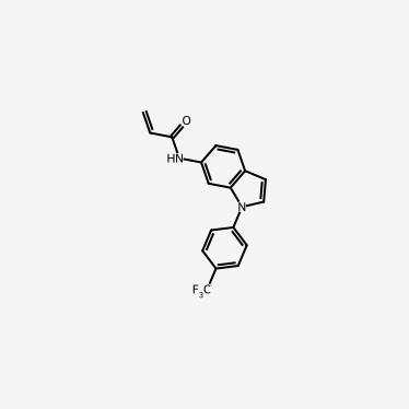 C=CC(=O)Nc1ccc2ccn(-c3ccc(C(F)(F)F)cc3)c2c1